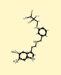 COc1cc2c(CCNCc3cccc(OCC(F)(F)C(F)F)c3)c[nH]c2cc1N